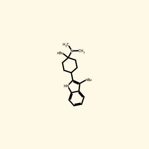 [CH2]CCCc1c(C2CCC(CCCC)(N(C)C)CC2)[nH]c2ccccc12